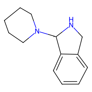 c1ccc2c(c1)CN[C]2N1CCCCC1